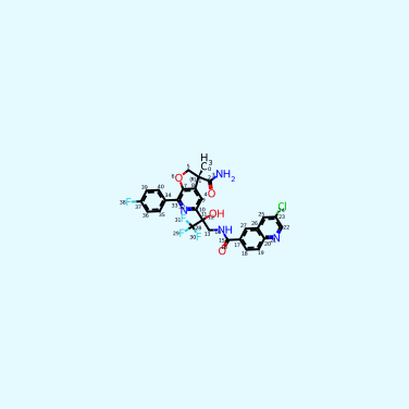 C[C@]1(C(N)=O)COc2c1cc(C(O)(CNC(=O)c1ccc3ncc(Cl)cc3c1)C(F)(F)F)nc2-c1ccc(F)cc1